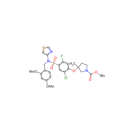 COc1ccc(CN(c2cscn2)S(=O)(=O)c2cc(Cl)c(OC3(C)CCN(C(=O)OC(C)(C)C)C3)cc2F)c(OC)c1